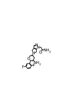 NC(=O)Cn1ncc2c1CN([C@H]1COC(c3cc(F)ccc3F)[C@@H](N)C1)C2